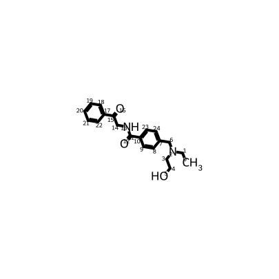 CCN(CCO)Cc1ccc(C(=O)NCC(=O)c2ccccc2)cc1